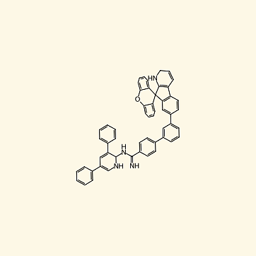 N=C(NC1NC=C(c2ccccc2)C=C1c1ccccc1)c1ccc(-c2cccc(-c3ccc4c(c3)C3(C5=C4C=CCN5)c4ccccc4Oc4ccccc43)c2)cc1